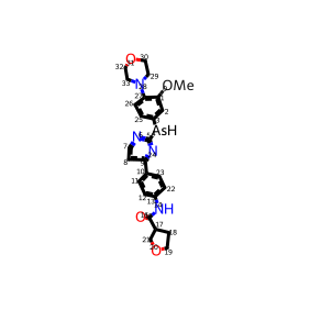 COc1cc([AsH]c2nccc(-c3ccc(NC(=O)C4CCOC4)cc3)n2)ccc1N1CCOCC1